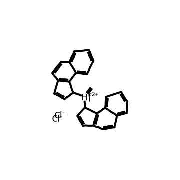 [CH2]=[Hf+2]([CH]1C=Cc2ccc3ccccc3c21)[CH]1C=Cc2ccc3ccccc3c21.[Cl-].[Cl-]